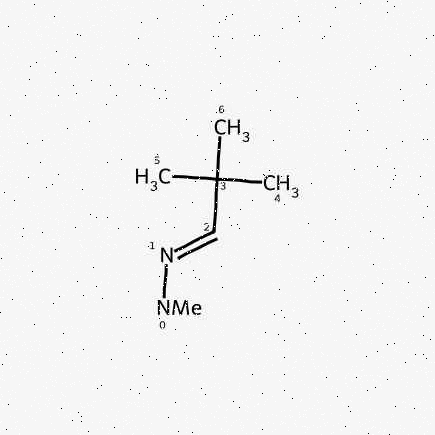 CNN=CC(C)(C)C